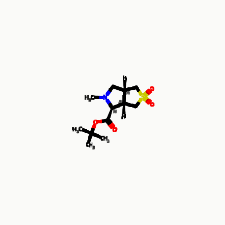 CN1C[C@@H]2CS(=O)(=O)C[C@@H]2[C@H]1C(=O)OC(C)(C)C